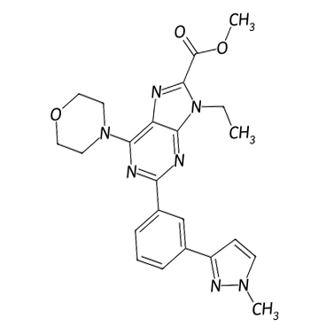 CCn1c(C(=O)OC)nc2c(N3CCOCC3)nc(-c3cccc(-c4ccn(C)n4)c3)nc21